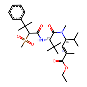 CCOC(=O)/C(C)=C/[C@H](C(C)C)N(C)C(=O)[C@@H](NC(=O)C(C(C)(C)c1ccccc1)S(C)(=O)=O)C(C)(C)C